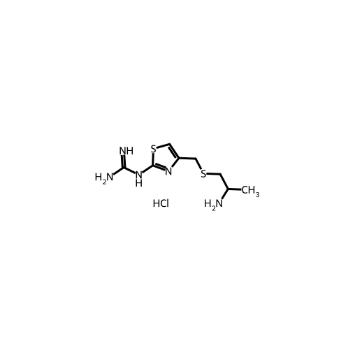 CC(N)CSCc1csc(NC(=N)N)n1.Cl